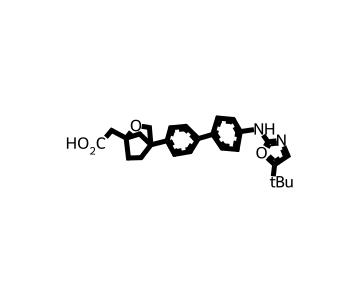 CC(C)(C)c1cnc(Nc2ccc(-c3ccc(C45CCC(CC(=O)O)(C4)OC5)cc3)cc2)o1